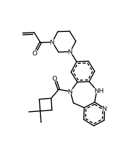 C=CC(=O)N1CCCN(c2ccc3c(c2)N(C(=O)C2CC(C)(C)C2)Cc2cccnc2N3)C1